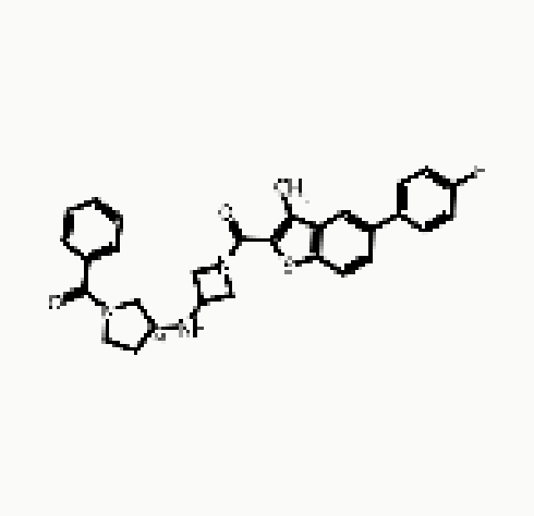 Cc1c(C(=O)N2CC(N[C@H]3CCN(C(=O)c4ccccc4)C3)C2)sc2ccc(-c3ccc(F)cc3)cc12